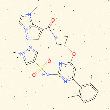 Cc1cccc(C)c1-c1cc(OC2CN(C(=O)c3cnn4ccn(C)c34)C2)nc(NS(=O)(=O)c2cnn(C)c2)n1